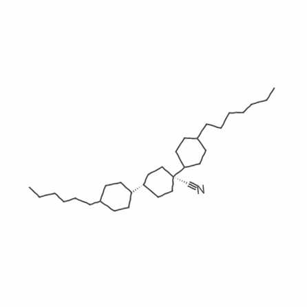 CCCCCCCC1CCC([C@]2(C#N)CC[C@@H](C3CCC(CCCCCC)CC3)CC2)CC1